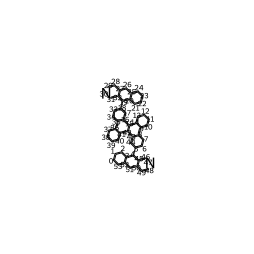 c1ccc2c(-c3ccc4c5ccccc5c5c6cc(-c7c8ccccc8cc8ccncc78)ccc6c6ccccc6c5c4c3)c3cnccc3cc2c1